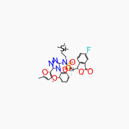 COc1cccc(OC)c1-n1c(-c2ccc(C)o2)nnc1N(CC[Si](C)(C)C)S(=O)(=O)[C@@H](C)C1OC(=O)c2cc(F)ccc21